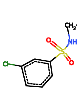 [CH2]NS(=O)(=O)c1cccc(Cl)c1